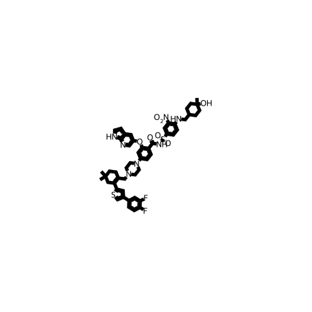 CC1(C)CCC(CN2CCN(c3ccc(C(=O)NS(=O)(=O)c4ccc(NCC5CCC(C)(O)CC5)c([N+](=O)[O-])c4)c(Oc4cnc5[nH]ccc5c4)c3)CC2)=C(c2cc(-c3ccc(F)c(F)c3)cs2)C1